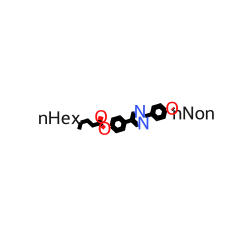 CCCCCCCCCOc1ccc(-c2ncc(-c3ccc(OC(=O)CCC(C)CCCCCC)cc3)cn2)cc1